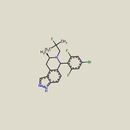 C[C@@H]1Cc2c(ccc3[nH]ncc23)C(c2c(F)cc(Br)cc2F)N1CC(C)(C)F